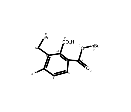 CCCCOC(=O)c1ccc(F)c(CC(C)C)c1C(=O)O